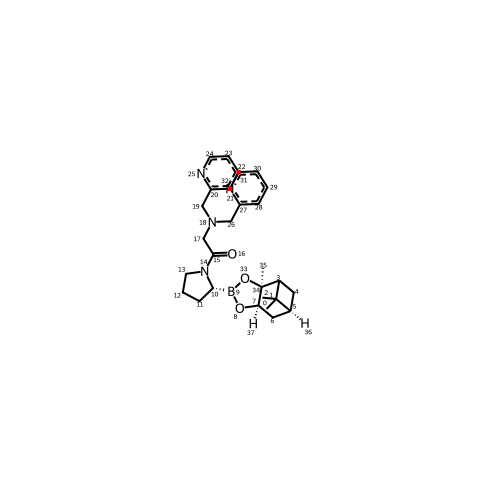 CC1(C)C2C[C@H]1C[C@H]1OB([C@@H]3CCCN3C(=O)CN(Cc3ccccn3)Cc3ccccn3)O[C@@]21C